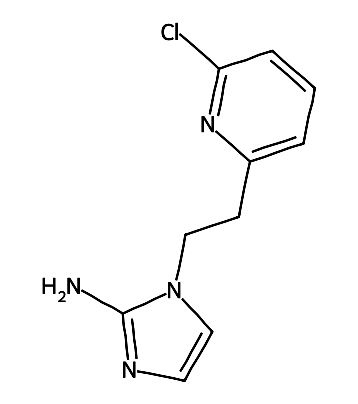 Nc1nccn1CCc1cccc(Cl)n1